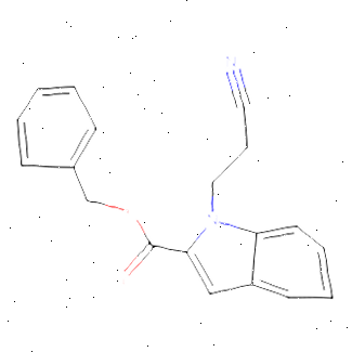 N#CCCn1c(C(=O)OCc2ccccc2)cc2ccccc21